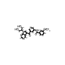 O=C(Nc1cncc(C(=O)c2cn(C(CO)CO)c3ncncc23)c1)c1cccc(OC(F)(F)F)c1